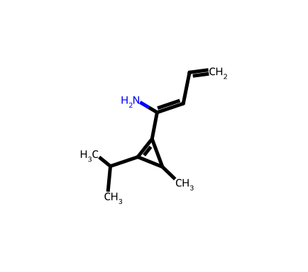 C=C/C=C(\N)C1=C(C(C)C)C1C